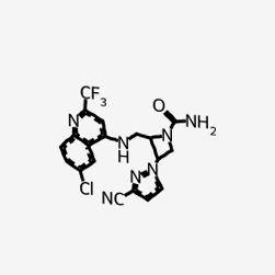 N#Cc1ccn(C2CN(C(N)=O)C2CNc2cc(C(F)(F)F)nc3ccc(Cl)cc23)n1